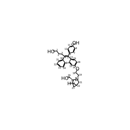 OCCC/C(=C(\c1ccc(O)cc1)c1ccc(OCCN2CC3C[C@H]3[C@H]2CO)cc1)c1ccccc1